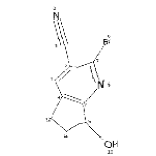 N#Cc1cc2c(nc1Br)C(O)CC2